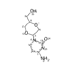 Nc1ccn(C2COC(CO)CO2)c(=O)n1